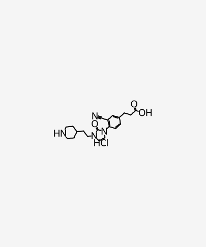 Cl.N#Cc1cc(CCC(=O)O)ccc1N1CCN(CCC2CCNCC2)C1=O